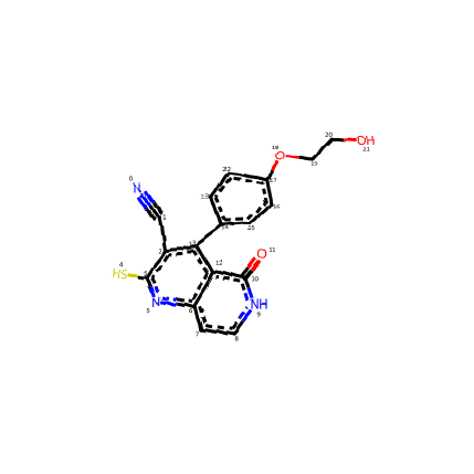 N#Cc1c(S)nc2cc[nH]c(=O)c2c1-c1ccc(OCCO)cc1